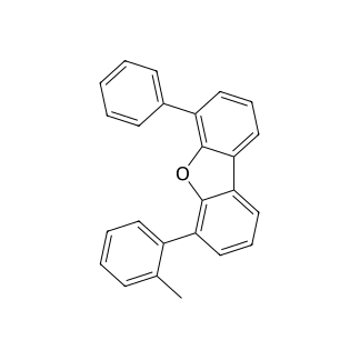 Cc1ccccc1-c1cccc2c1oc1c(-c3ccccc3)cccc12